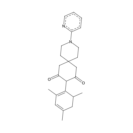 CC1=CC(C)=C(C2C(=O)CC3(CCN(c4ccccn4)CC3)CC2=O)C(C)C1